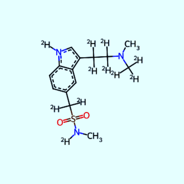 [2H]N(C)S(=O)(=O)C([2H])([2H])c1ccc2c(c1)c(C([2H])([2H])C([2H])([2H])N(C)C([2H])([2H])[2H])cn2[2H]